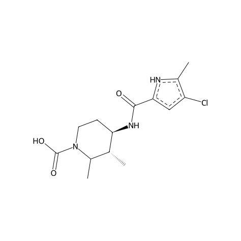 Cc1[nH]c(C(=O)N[C@@H]2CCN(C(=O)O)C(C)[C@H]2C)cc1Cl